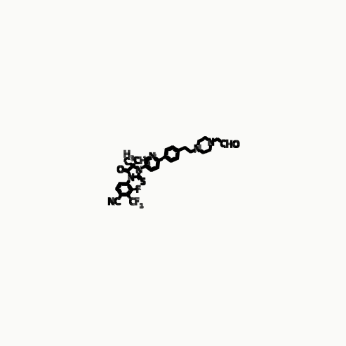 CC1(C)C(=O)N(c2ccc(C#N)c(C(F)(F)F)c2F)C(=S)N1c1ccc(-c2ccc(CCN3CCN(CC=O)CC3)cc2)nc1